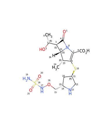 C[C@@H](O)[C@H]1C(=O)N2C(C(=O)O)=C(S[C@H]3CN[C@H](CONS(N)(=O)=O)C3)[C@H](C)[C@H]12